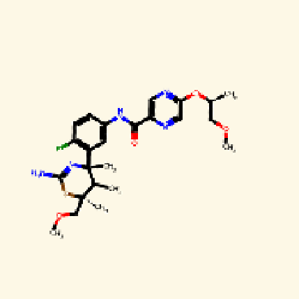 COC[C@H](C)Oc1cnc(C(=O)Nc2ccc(F)c([C@@]3(C)N=C(N)S[C@](C)(COC)C3C)c2)cn1